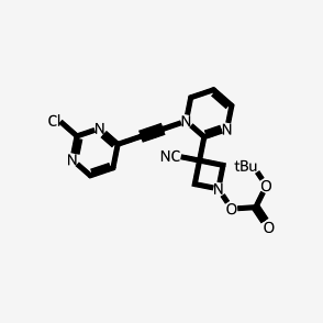 CC(C)(C)OC(=O)ON1CC(C#N)(C2=NC=CCN2C#Cc2ccnc(Cl)n2)C1